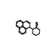 S=C1CCCCC1C1C=Cc2cccc3cccc1c23